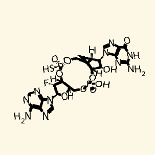 Nc1nc2c(ncn2[C@H]2[C@H](O)[C@@H]3OP(=O)(O)OC[C@H]4O[C@@H](n5cnc6c(N)ncnc65)[C@H](F)[C@@H]4O[P@@](=O)(S)OCC34C[C@H]24)c(=O)[nH]1